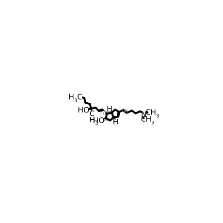 CCCC[C@](C)(O)C/C=C/[C@@H]1[C@H]2CC(/C=C/CCCN(C)C)=C[C@H]2C[C@H]1O